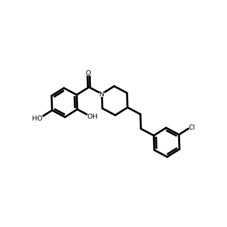 O=C(c1ccc(O)cc1O)N1CCC(CCc2cccc(Cl)c2)CC1